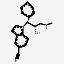 CNC[C@H](O)[C@H](c1ccccc1)n1ccc2cc(C#N)ccc21